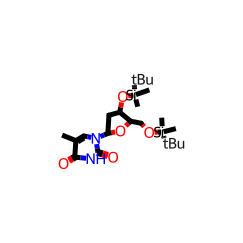 Cc1cn(C2CC(O[Si](C)(C)C(C)(C)C)C(CO[Si](C)(C)C(C)(C)C)O2)c(=O)[nH]c1=O